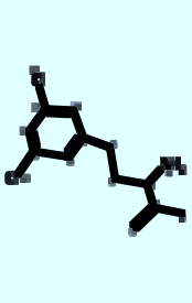 C=C(C)C(N)CCc1cc(Cl)cc(Cl)c1